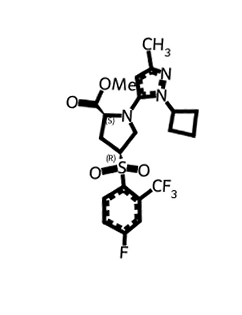 COC(=O)[C@@H]1C[C@@H](S(=O)(=O)c2ccc(F)cc2C(F)(F)F)CN1c1cc(C)nn1C1CCC1